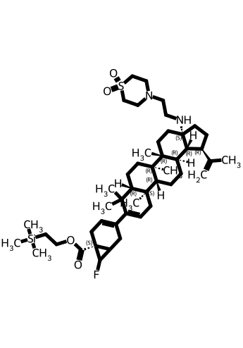 C=C(C)[C@@H]1CC[C@]2(NCCN3CCS(=O)(=O)CC3)CC[C@]3(C)[C@H](CC[C@@H]4[C@@]5(C)CC=C(C6=CC[C@]7(C(=O)OCC[Si](C)(C)C)C(F)C7C6)C(C)(C)[C@@H]5CC[C@]43C)[C@@H]12